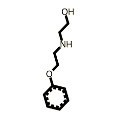 OCCNCCOc1ccccc1